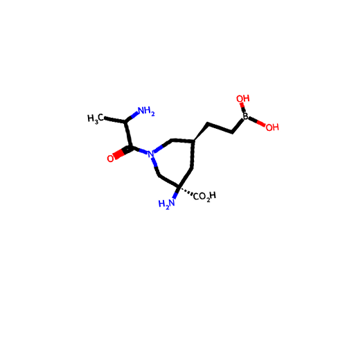 CC(N)C(=O)N1C[C@@H](CCB(O)O)C[C@](N)(C(=O)O)C1